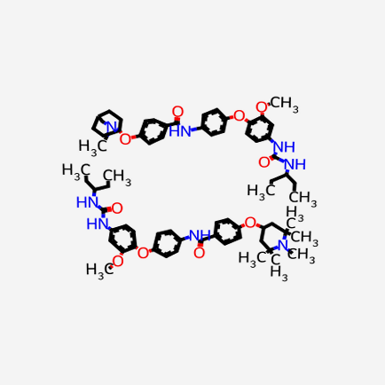 CCC(CC)NC(=O)Nc1ccc(Oc2ccc(NC(=O)c3ccc(OC45CCC(CC4)CN5C)cc3)cc2)c(OC)c1.CCC(CC)NC(=O)Nc1ccc(Oc2ccc(NC(=O)c3ccc(OC4CC(C)(C)N(C)C(C)(C)C4)cc3)cc2)c(OC)c1